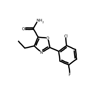 CCc1nc(-c2cc(F)ccc2Cl)oc1C(N)=O